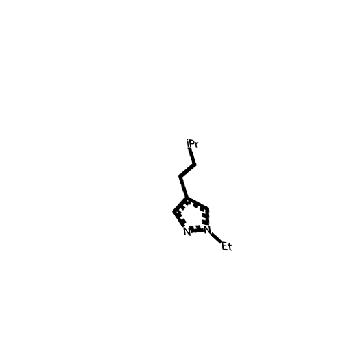 CCn1cc(CCC(C)C)cn1